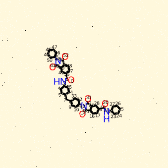 O=C(Nc1ccc(Cc2ccc(N3C(=O)c4ccc(C(=O)Nc5ccccc5)cc4C3=O)cc2)cc1)c1ccc2c(c1)C(=O)N(c1ccccc1)C2=O